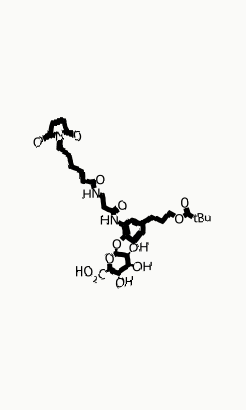 CC(C)(C)C(=O)OCCCc1ccc(O[C@@H]2O[C@H](C(=O)O)[C@@H](O)[C@H](O)[C@H]2O)c(NC(=O)CCNC(=O)CCCCCN2C(=O)C=CC2=O)c1